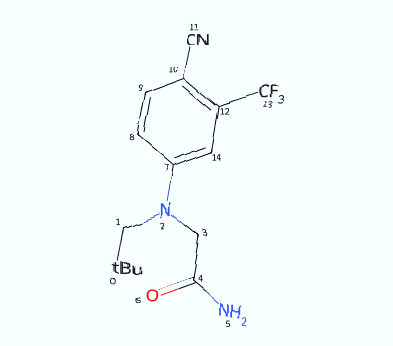 CC(C)(C)CN(CC(N)=O)c1ccc(C#N)c(C(F)(F)F)c1